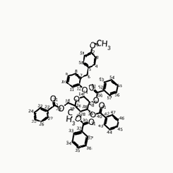 COc1ccc(Cc2ccccc2O[C@H]2O[C@](C)(COC(=O)c3ccccc3)[C@@H](OC(=O)c3ccccc3)[C@H](OC(=O)c3ccccc3)[C@H]2OC(=O)c2ccccc2)cc1